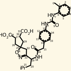 Cc1ccccc1NC(=O)Nc1ccc(CC(=O)NC(CC(C)C)C2=NOC(CCC(=O)O)(CCC(=O)O)C2)cc1